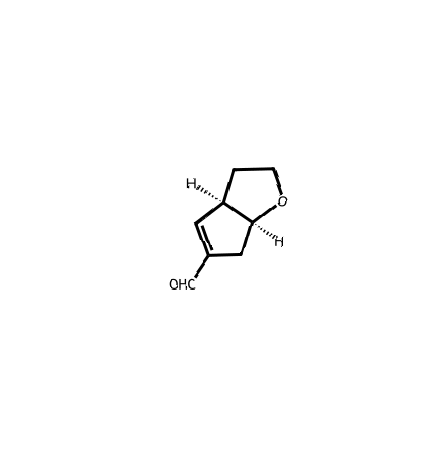 O=CC1=C[C@H]2CCO[C@H]2C1